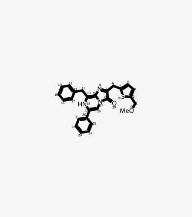 COCc1ccc(Cc2nc3c(Cc4ccccc4)[nH]c(-c4ccccc4)cn-3c2=O)s1